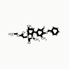 CCOC(=O)Cn1c(=O)n(C)c2c(-c3cc(C)c(OCc4ccccc4)c(F)c3)cc(C)cc21